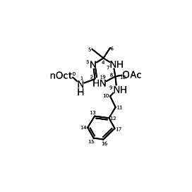 CCCCCCCCNC1=NC(C)(C)NC(NCCc2ccccc2)(OC(C)=O)N1